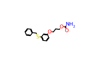 NC(=O)OCCCOc1cccc(SCc2ccccc2)c1